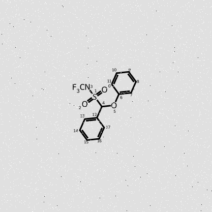 O=S(=O)(NC(F)(F)F)C(Oc1ccccc1)c1ccccc1